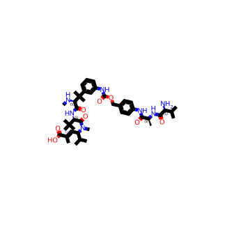 CN[C@H](C(=O)N[C@H](C(=O)N(C)C(/C=C(\C)C(=O)O)C(C)C)C(C)(C)C)C(C)(C)c1cccc(NC(=O)OCc2ccc(NC(=O)[C@H](C)NC(=O)[C@@H](N)C(C)C)cc2)c1